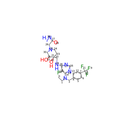 CCN(Cc1ccc(C(F)(F)F)cc1)c1ncnc(NC[C@@]2(O)CCN(CC(N)=O)C[C@@H]2O)c1F